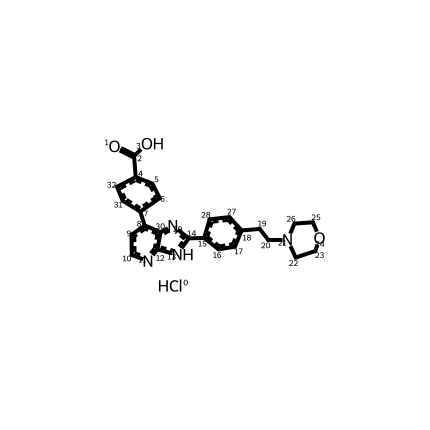 Cl.O=C(O)c1ccc(-c2ccnc3[nH]c(-c4ccc(CCN5CCOCC5)cc4)nc23)cc1